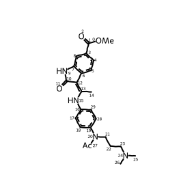 COC(=O)c1ccc2c(c1)NC(=O)/C2=C(/C)Nc1ccc(N(CCCN(C)C)C(C)=O)cc1